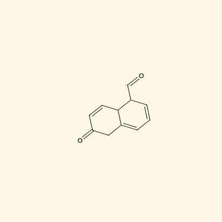 O=[C]C1C=CC=C2CC(=O)C=CC21